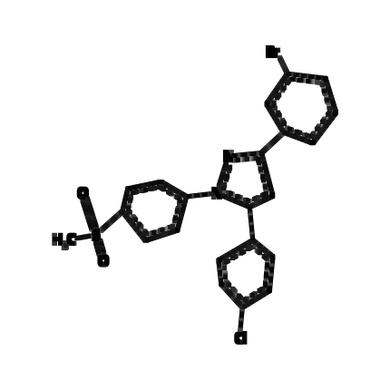 CS(=O)(=O)c1ccc(-n2nc(-c3cccc(Br)c3)cc2-c2ccc(Cl)cc2)cc1